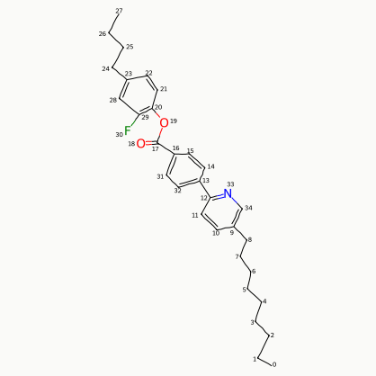 CCCCCCCCCc1ccc(-c2ccc(C(=O)Oc3ccc(CCCC)cc3F)cc2)nc1